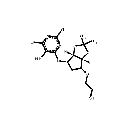 CC1(C)O[C@@H]2[C@H](O1)[C@@H](OCCO)C[C@H]2Nc1nc(Cl)nc(Cl)c1N